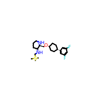 CS(C)(C)CN[C@H]1CCCN[C@H]1CO[C@H]1CC[C@@H](c2cc(F)cc(F)c2)CC1